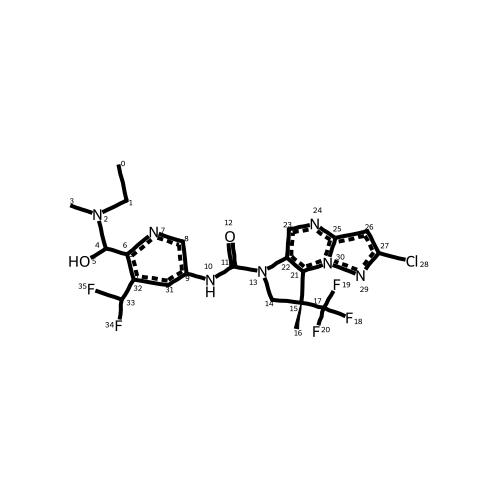 CCN(C)C(O)c1ncc(NC(=O)N2C[C@@](C)(C(F)(F)F)c3c2cnc2cc(Cl)nn32)cc1C(F)F